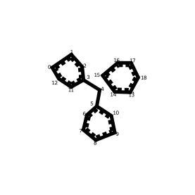 [c]1ccc(Cc2ccccc2)cc1.[c]1ccccc1